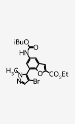 CCOC(=O)c1cc2cc(NC(=O)OCC(C)C)cc(-c3c(Br)cnn3C)c2o1